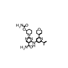 C=C(C)c1cc(Nc2nc(N3CCCC(OC(N)=O)C3)ncc2C(N)=O)cc(C2=CCOCC2)n1